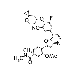 COc1cc(C(=O)N(C)C)ccc1-c1cc2nccc(-c3cc(F)c(OC4CCOC5(CC5)C4)c(C#N)c3)c2o1